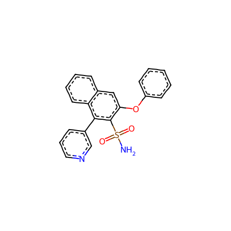 NS(=O)(=O)c1c(Oc2ccccc2)cc2ccccc2c1-c1cccnc1